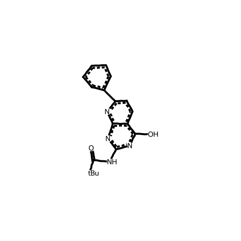 CC(C)(C)C(=O)Nc1nc(O)c2ccc(-c3ccccc3)nc2n1